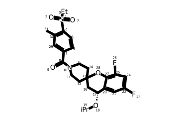 CCS(=O)(=O)c1ccc(C(=O)N2CCC3(CC2)C[C@@H](OC(C)C)c2cc(F)cc(F)c2O3)cc1C